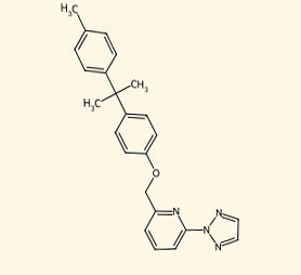 Cc1ccc(C(C)(C)c2ccc(OCc3cccc(-n4nccn4)n3)cc2)cc1